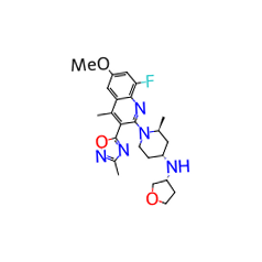 COc1cc(F)c2nc(N3CC[C@@H](N[C@@H]4CCOC4)C[C@@H]3C)c(-c3nc(C)no3)c(C)c2c1